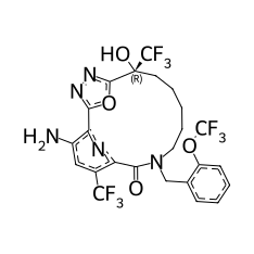 Nc1cc(C(F)(F)F)c2nc1-c1nnc(o1)[C@@](O)(C(F)(F)F)CCCCCN(Cc1ccccc1OC(F)(F)F)C2=O